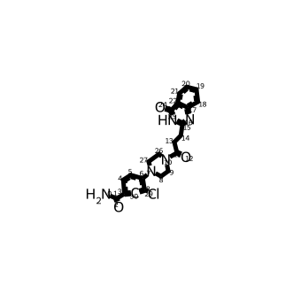 NC(=O)c1ccc(N2CCN(C(=O)CCc3nc4ccccc4c(=O)[nH]3)CC2)c(Cl)c1